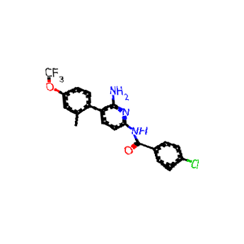 Cc1cc(OC(F)(F)F)ccc1-c1ccc(NC(=O)c2ccc(Cl)cc2)nc1N